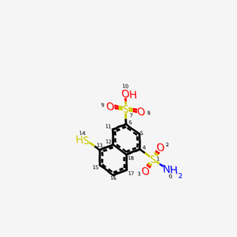 NS(=O)(=O)c1cc(S(=O)(=O)O)cc2c(S)cccc12